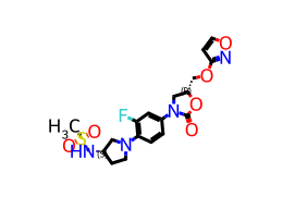 CS(=O)(=O)N[C@H]1CCN(c2ccc(N3C[C@H](COc4ccon4)OC3=O)cc2F)C1